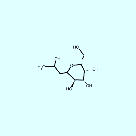 CC(O)CC1O[C@H](CO)[C@H](O)[C@H](O)[C@H]1O